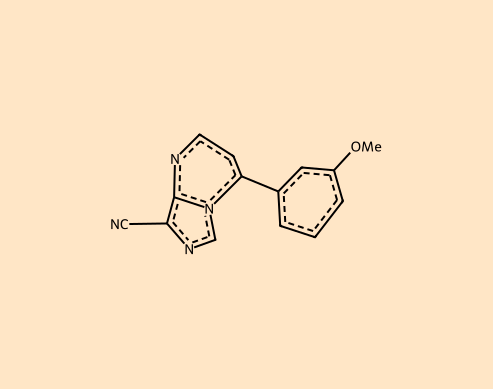 COc1cccc(-c2ccnc3c(C#N)ncn23)c1